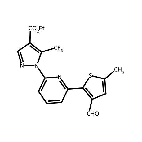 CCOC(=O)c1cnn(-c2cccc(-c3sc(C)cc3C=O)n2)c1C(F)(F)F